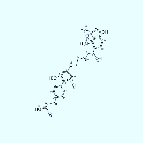 Cc1cc(OCCNC[C@H](O)c2ccc(O)c(S(C)(=O)=O)c2N)cc(C)c1-c1ccc(CCC(=O)O)cc1